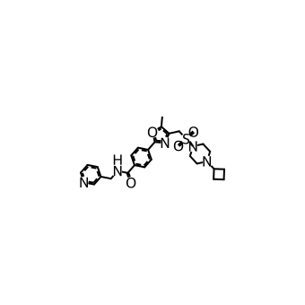 Cc1oc(-c2ccc(C(=O)NCc3cccnc3)cc2)nc1CS(=O)(=O)N1CCN(C2CCC2)CC1